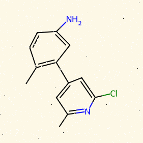 Cc1cc(-c2cc(N)ccc2C)cc(Cl)n1